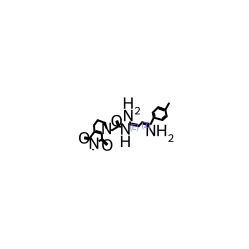 Cc1ccc(/C(N)=C/C=C(\N)NC(=O)CN2CCCC3=C2C(=O)N(C)C3=O)cc1